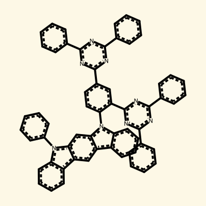 c1ccc(-c2nc(-c3ccccc3)nc(-c3ccc(-n4c5ccccc5c5cc6c7ccccc7n(-c7ccccc7)c6cc54)c(-c4nc(-c5ccccc5)nc(-c5ccccc5)n4)c3)n2)cc1